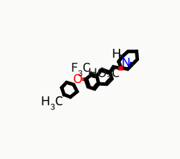 C[C@H]1CC[C@@H](Oc2ccc3ccc(CCN4C5CCC[C@@H]4CC(C(=O)O)C5)cc3c2C(F)(F)F)CC1